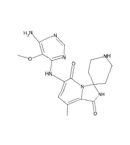 COc1c(N)ncnc1Nc1cc(C)c2n(c1=O)C1(CCNCC1)NC2=O